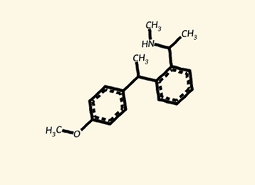 CNC(C)c1ccccc1C(C)c1ccc(OC)cc1